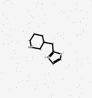 c1csc(CC2CCCNC2)n1